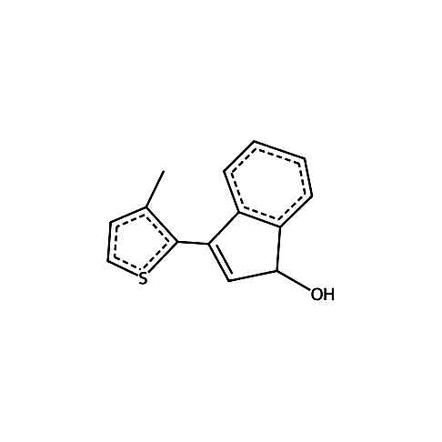 Cc1ccsc1C1=CC(O)c2ccccc21